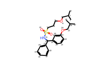 CC(C)COCCCS(=O)(=O)NC(c1ccccc1)c1cccc(OCC(C)C)c1